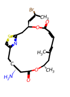 C/C(Br)=C\[C@@H]1Cc2nc(cs2)CC[C@@H](N)CC(=O)O[C@@H](C)C/C(C)=C/C=C\C(=O)O1